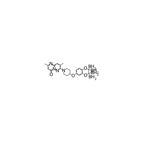 BC1(B)Oc2ccc(OC3CCN(c4nn5c(=O)cc(C)nc5cc4C)CC3)cc2OC1(B)B